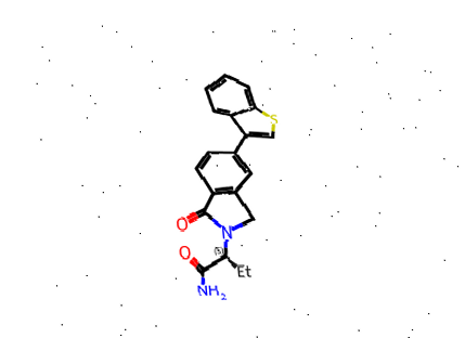 CC[C@@H](C(N)=O)N1Cc2cc(-c3csc4ccccc34)ccc2C1=O